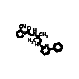 CC(C)(CNc1cccc(-c2ccccc2)n1)NCC(=O)N1CCCC1C#N